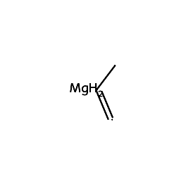 [CH]=CC.[MgH2]